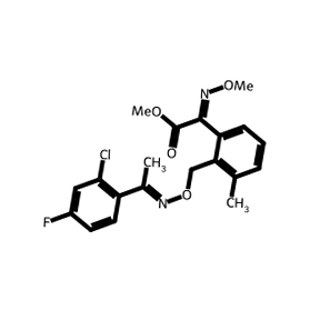 CO/N=C(/C(=O)OC)c1cccc(C)c1CO/N=C(\C)c1ccc(F)cc1Cl